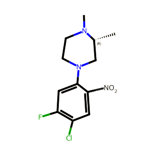 C[C@@H]1CN(c2cc(F)c(Cl)cc2[N+](=O)[O-])CCN1C